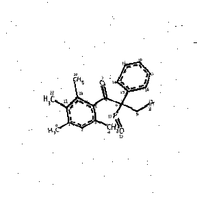 Cc1cc(C)c(C(=O)C(CC(C)C)(P=O)c2ccccc2)c(C)c1C